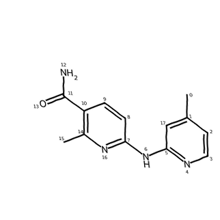 Cc1ccnc(Nc2ccc(C(N)=O)c(C)n2)c1